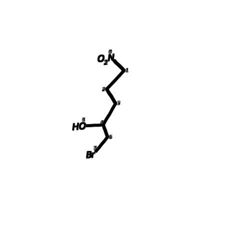 O=[N+]([O-])CCCC(O)CBr